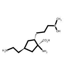 CB(O)CCC[C@H]1C[C@H](CCN)C[C@@]1(N)C(=O)O